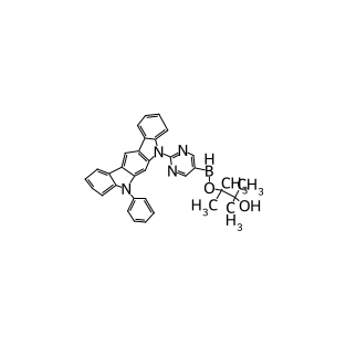 CC(C)(O)C(C)(C)OBc1cnc(-n2c3ccccc3c3cc4c5ccccc5n(-c5ccccc5)c4cc32)nc1